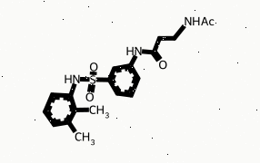 CC(=O)NCCC(=O)Nc1cccc(S(=O)(=O)Nc2cccc(C)c2C)c1